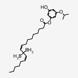 BC(B)(/C=C\CCCCC)/C=C\CCCCCCCC(=O)Oc1cc(O)cc(OC(C)C)c1